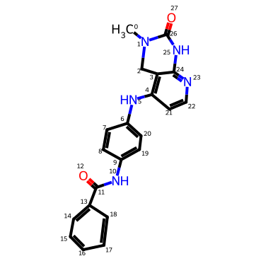 CN1Cc2c(Nc3ccc(NC(=O)c4ccccc4)cc3)ccnc2NC1=O